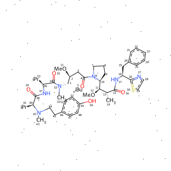 CC[C@H](C)[C@@H]([C@H](CC(=O)N1CCC[C@H]1[C@H](OC)[C@@H](C)C(=O)N[C@@H](Cc1ccccc1)c1nccs1)OC)N(C)C(=O)[C@@H](NC(=O)[C@H](C(C)C)N(C)CCc1ccc(O)cc1)C(C)C